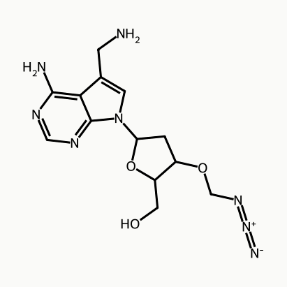 [N-]=[N+]=NCOC1CC(n2cc(CN)c3c(N)ncnc32)OC1CO